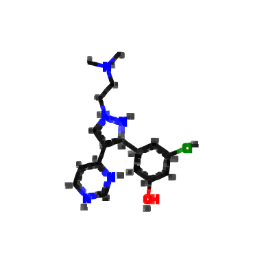 CN(C)CCn1cc(-c2ccncn2)c(-c2cc(O)cc(Cl)c2)n1